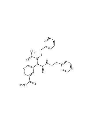 COC(=O)c1cccc(C(C(=O)NCCc2ccncc2)N(CCc2cccnc2)C(=O)C(F)(F)F)c1